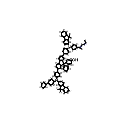 C/C=C\C=C(/C)c1ccc(N(c2ccc(-c3ccc4c(c3)C(c3ccccc3)(c3ccc(O)cc3)c3cc(-c5ccc(N(c6ccc(-c7ccccc7)cc6)c6ccc7c(c6)C(C)(C)c6ccccc6-7)cc5)ccc3-4)cc2)c2ccc3c(c2)C(C)(C)c2ccccc2-3)cc1